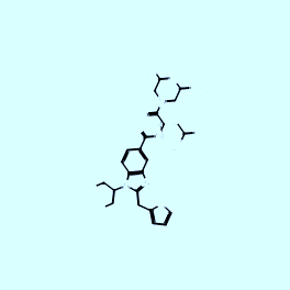 CCC(CC)n1c(Cc2cccs2)nc2cc(C(=O)N[C@@H](CC(C)C)C(=O)N3CC(C)OC(C)C3)ccc21